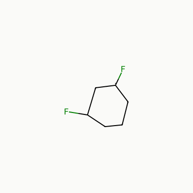 F[C]1CCCC(F)C1